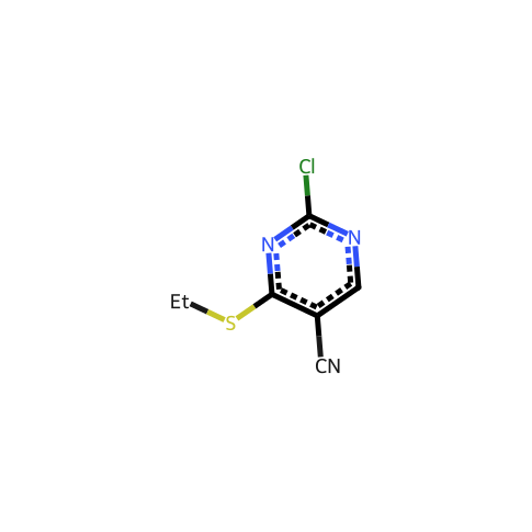 CCSc1nc(Cl)ncc1C#N